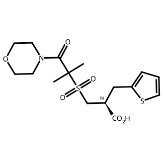 CC(C)(C(=O)N1CCOCC1)S(=O)(=O)C[C@@H](Cc1cccs1)C(=O)O